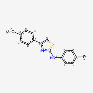 CCc1ccc(Nc2nc(-c3ccc(OC)cc3)cs2)cc1